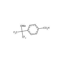 COC(c1ccc(C(=O)O)cc1)(C(F)(F)F)C(F)(F)F